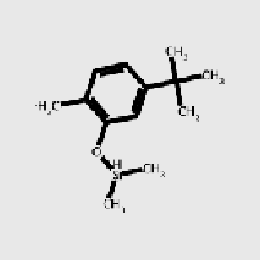 [CH2]c1ccc(C(C)(C)C)cc1O[SiH](C)C